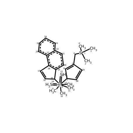 C[Si](C)(C)CC1=C[CH]([Hf]([CH3])([CH3])([CH3])([CH3])(=[SiH2])(=[SiH2])[CH]2C=Cc3c2ccc2ccccc32)C=C1